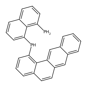 Pc1cccc2cccc(Pc3cccc4ccc5cc6ccccc6cc5c34)c12